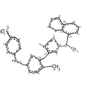 Cc1ccc(Nc2ccc(C(=O)O)cc2)cc1-c1noc(C(C)c2cccc3ccccc23)n1